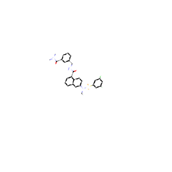 CN(C)C(=O)c1cccc(CNC(=O)c2cccc3cc(N(CC(=O)O)S(=O)(=O)c4cc(Cl)cc(Cl)c4)ccc23)c1